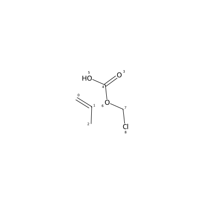 C=CC.O=C(O)OCCl